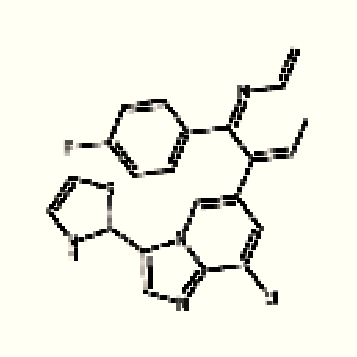 C=C/N=C(\C(=C/C)c1cc(Cl)c2ncc(C3NC=CS3)n2c1)c1ccc(F)cc1